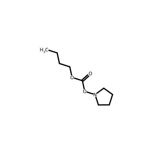 CCCCOC(=O)ON1CCCC1